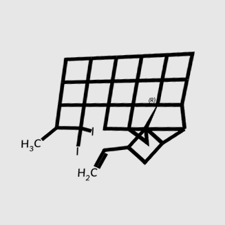 C=CC1CC2C3C4C5CC6C7C8C9CC%10C%11C(C)C(I)(I)C%11%12C%109C89C%128CC3%10CC12[C@@]41C65C79C%1081